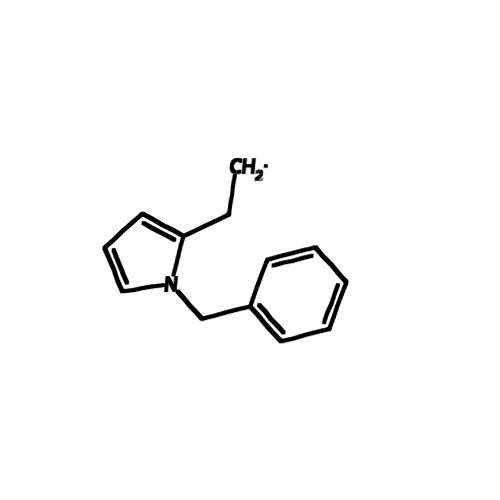 [CH2]Cc1cccn1Cc1ccccc1